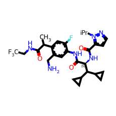 CC(C(=O)NCC(F)(F)F)c1cc(F)c(NC(=O)[C@@H](NC(=O)c2ccnn2C(C)C)C(C2CC2)C2CC2)cc1CN